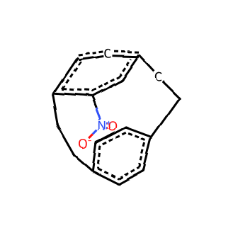 O=[N+]([O-])c1cc2ccc1CCc1ccc(cc1)CC2